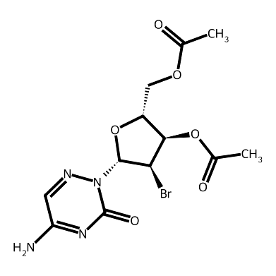 CC(=O)OC[C@H]1O[C@@H](n2ncc(N)nc2=O)[C@H](Br)[C@@H]1OC(C)=O